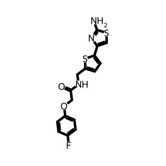 Nc1nc(-c2ccc(CNC(=O)COc3ccc(F)cc3)s2)cs1